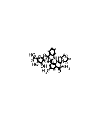 Cc1cc([C@@H](C)Nc2ccccc2C(=O)O[C@@H]2O[C@H](C(=O)O)[C@@H](O)[C@H](O)[C@H]2O)c2nc(N3CCOCC3)n(C)c(=O)c2c1